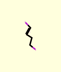 I/C=C/CCI